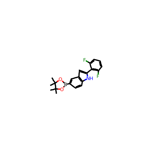 CC1(C)OB(c2ccc3[nH]c(-c4c(F)cccc4F)cc3c2)OC1(C)C